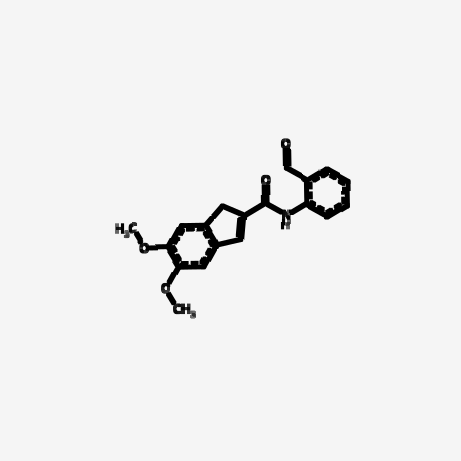 COc1cc2c(cc1OC)CC(C(=O)Nc1ccccc1C=O)=C2